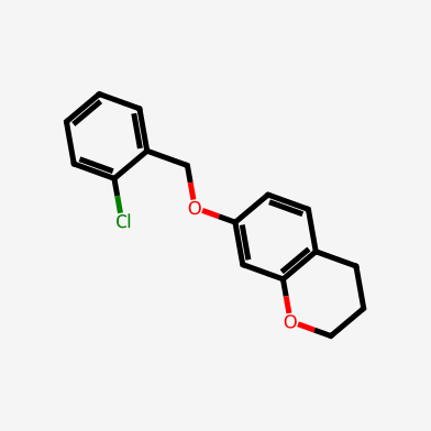 Clc1ccccc1COc1ccc2c(c1)OCCC2